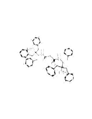 O=C(CC(=O)N[C@H](Cc1ccccc1)C(O)(Cc1ccccc1)Cc1ccccc1)N[C@H](Cc1ccccc1)C(O)(Cc1ccccc1)Cc1ccccc1